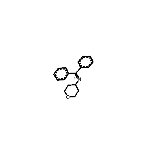 c1ccc(C(=[15N]C2CCOCC2)c2ccccc2)cc1